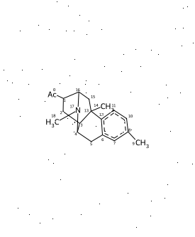 CC(=O)C1CC2C3Cc4cc(C)ccc4C2(C)CC1N3C